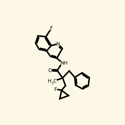 CC(Cc1ccccc1)(CC1(F)CC1)C(=O)Nc1cnc2c(F)cccc2c1